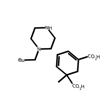 CC1(C(=O)O)C=CC=C(C(=O)O)C1.CCC(C)CN1CCNCC1